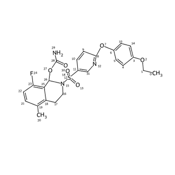 CCOc1ccc(Oc2ccc(S(=O)(=O)N3CCc4c(C)ccc(F)c4C3OC(N)=O)cn2)cc1